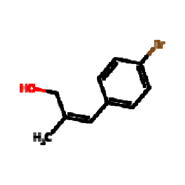 CC(=Cc1ccc(Br)cc1)CO